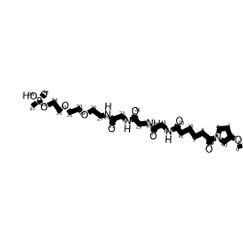 COC1CCN(C(=O)CCCCC(=O)NCC(=O)NCC(=O)NCC(=O)NCCOCCOCCOP(C)(=O)O)C1